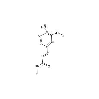 CNC(=O)C=Cc1ccc(O)c(OC)c1